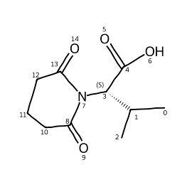 CC(C)[C@@H](C(=O)O)N1C(=O)CCCC1=O